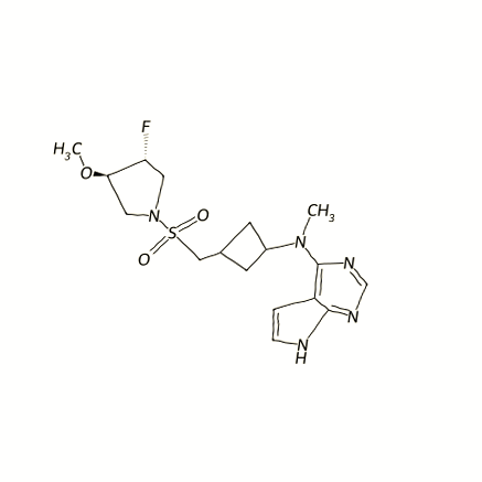 CO[C@@H]1CN(S(=O)(=O)CC2CC(N(C)c3ncnc4[nH]ccc34)C2)C[C@H]1F